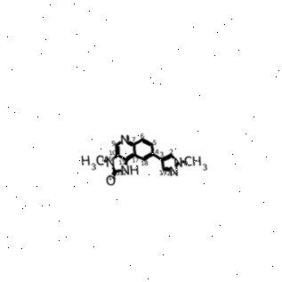 Cn1cc(-c2ccc3ncc4c([nH]c(=O)n4C)c3c2)cn1